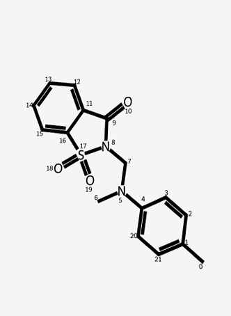 Cc1ccc(N(C)CN2C(=O)c3ccccc3S2(=O)=O)cc1